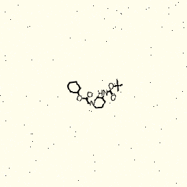 CC(C)(C)OC(=O)NC1CCCN(CC(=O)OC2CCCCC2)C1